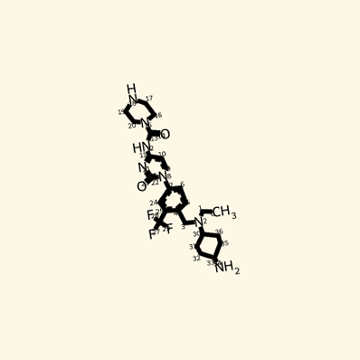 CCN(Cc1ccc(-n2ccc(NC(=O)N3CCNCC3)nc2=O)cc1C(F)(F)F)C1CCC(N)CC1